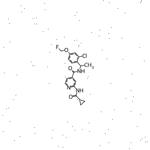 CC(NC(=O)c1ccnc(NC(=O)C2CC2)c1)c1ccc(OCF)cc1Cl